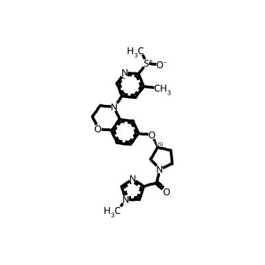 Cc1cc(N2CCOc3ccc(O[C@H]4CCN(C(=O)c5cn(C)cn5)C4)cc32)cnc1[S+](C)[O-]